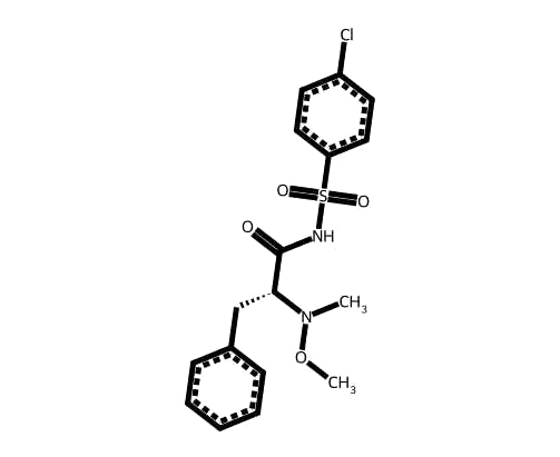 CON(C)[C@H](Cc1ccccc1)C(=O)NS(=O)(=O)c1ccc(Cl)cc1